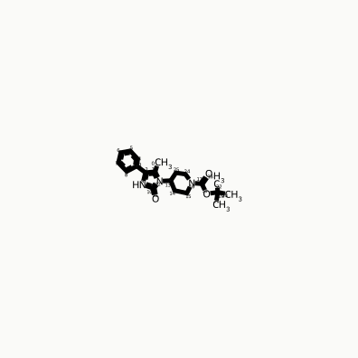 Cc1c(-c2ccccc2)[nH]c(=O)n1C1CCN(C(=O)OC(C)(C)C)CC1